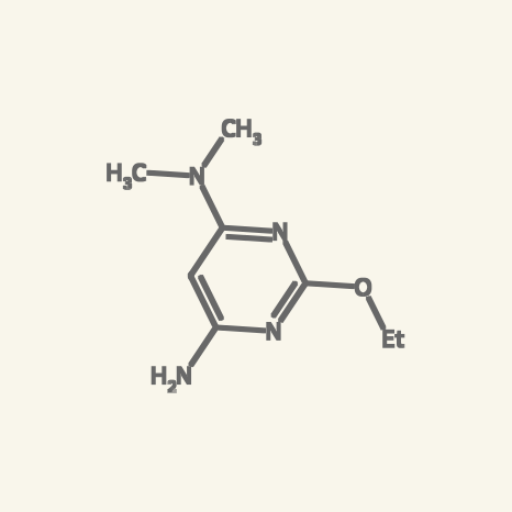 CCOc1nc(N)cc(N(C)C)n1